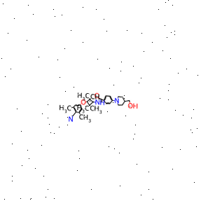 Cc1cc(OC2C(C)(C)C(NC(=O)c3ccc(N4CCC(CO)CC4)cc3)C2(C)C)cc(C)c1C#N